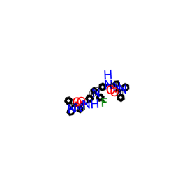 O=C(Nc1ccc([C@H]2CC[C@@H](c3ccc(NC(=O)[C@@H]4CCCN4C(=O)[C@@H](c4ccccc4)N4CCCCC4)cc3)N2c2ccc(F)cc2)cc1)[C@@H]1CCCN1C(=O)[C@@H](c1ccccc1)N1CCCCC1